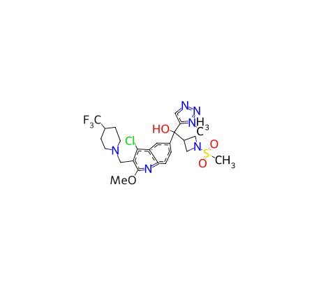 COc1nc2ccc(C(O)(c3cnnn3C)C3CN(S(C)(=O)=O)C3)cc2c(Cl)c1CN1CCC(C(F)(F)F)CC1